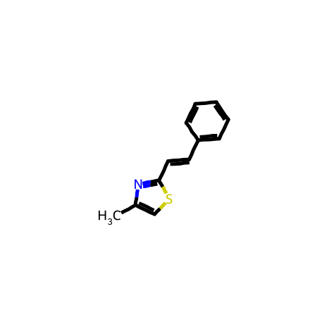 Cc1csc(C=Cc2ccccc2)n1